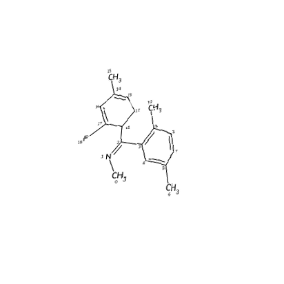 C/N=C(\c1cc(C)ccc1C)C1CC=C(C)C=C1F